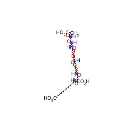 CC(CC(=O)O)C(=O)NCCC(=O)NCCNC(=O)COCCOCCNC(=O)COCCOCCNC(=O)CC[C@H](NC(=O)CCCCCCCCCCCCCCCCC(=O)O)C(=O)O